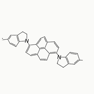 Cc1ccc2c(c1)CCN2c1ccc2ccc3c(N4CCc5cc(F)ccc54)ccc4ccc1c2c43